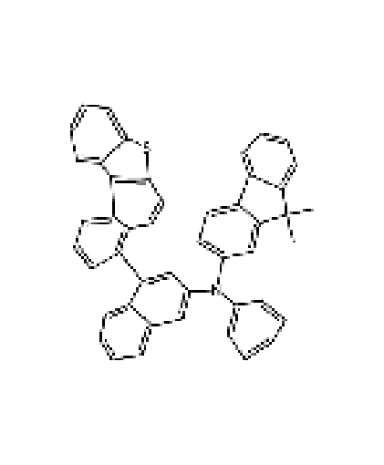 CC1(C)c2ccccc2-c2ccc(N(c3ccccc3)c3cc(-c4cccc5c4ccc4sc6ccccc6c45)c4ccccc4c3)cc21